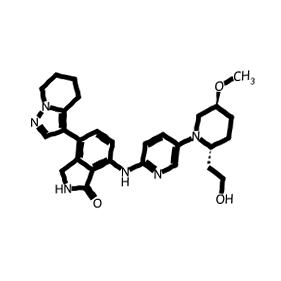 CO[C@H]1CC[C@H](CCO)N(c2ccc(Nc3ccc(-c4cnn5c4CCCC5)c4c3C(=O)NC4)nc2)C1